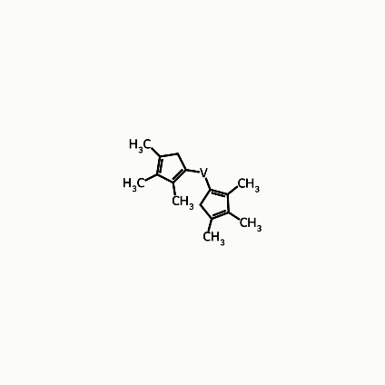 CC1=C(C)C(C)=[C]([V][C]2=C(C)C(C)=C(C)C2)C1